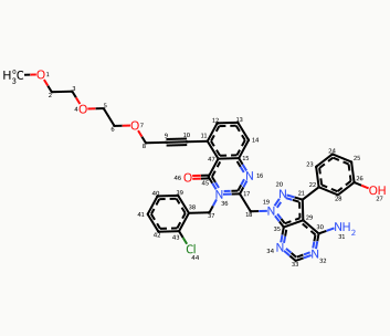 COCCOCCOCC#Cc1cccc2nc(Cn3nc(-c4cccc(O)c4)c4c(N)ncnc43)n(Cc3ccccc3Cl)c(=O)c12